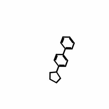 c1ccc(-c2ccc(C3CCCC3)cc2)cc1